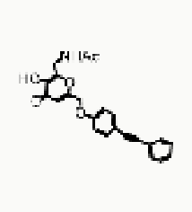 CC(=O)NCc1oc(COc2ccc(C#Cc3ccccc3)cc2)cc(=O)c1O